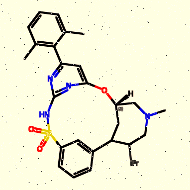 Cc1cccc(C)c1-c1cc2nc(n1)NS(=O)(=O)c1cccc(c1)C1C[C@@H](CN(C)CC1C(C)C)O2